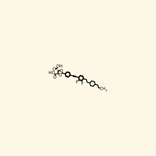 CCCC1CCC(CCc2ccc(C#Cc3ccc(C4O[C@@H](C(=O)O)[C@H](C(=O)O)O4)cc3)c(F)c2F)CC1